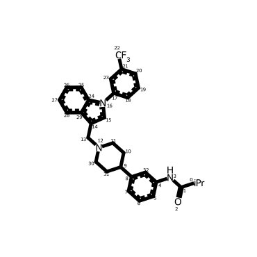 CC(C)C(=O)Nc1cccc(C2CCN(Cc3cn(-c4cccc(C(F)(F)F)c4)c4ccccc34)CC2)c1